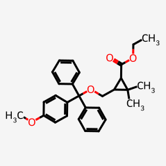 CCOC(=O)C1C(COC(c2ccccc2)(c2ccccc2)c2ccc(OC)cc2)C1(C)C